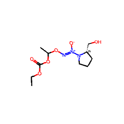 CCOC(=O)OC(C)ON=[N+]([O-])N1CCC[C@H]1CO